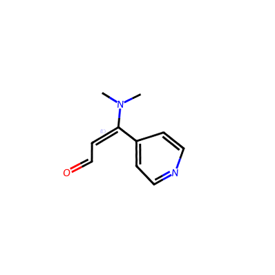 CN(C)/C(=C/C=O)c1ccncc1